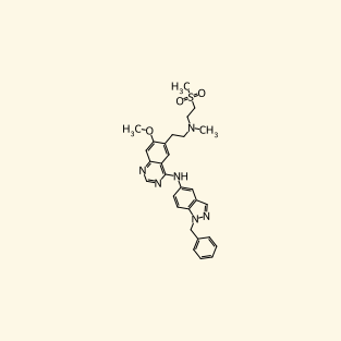 COc1cc2ncnc(Nc3ccc4c(cnn4Cc4ccccc4)c3)c2cc1CCN(C)CCS(C)(=O)=O